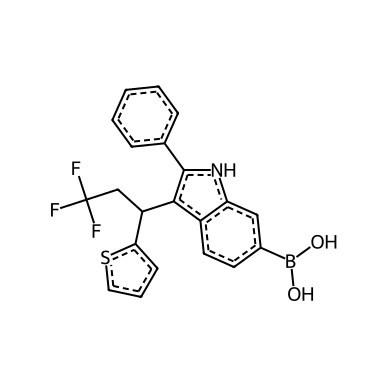 OB(O)c1ccc2c(C(CC(F)(F)F)c3cccs3)c(-c3ccccc3)[nH]c2c1